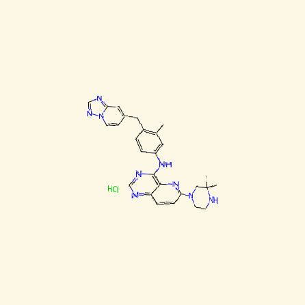 Cc1cc(Nc2ncnc3ccc(N4CCNC(C)(C)C4)nc23)ccc1Cc1ccn2ncnc2c1.Cl